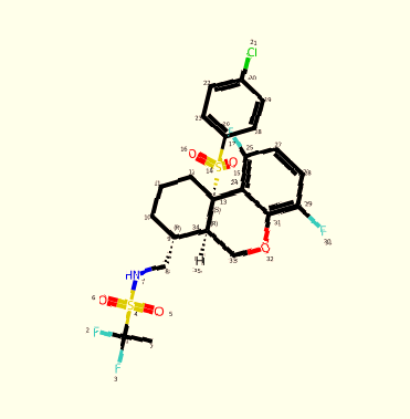 CC(F)(F)S(=O)(=O)NC[C@@H]1CCC[C@@]2(S(=O)(=O)c3ccc(Cl)cc3)c3c(F)ccc(F)c3OC[C@@H]12